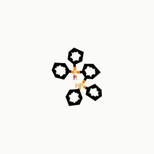 C[PH](c1ccccc1)(c1ccccc1)c1ccccc1[PH](I)(c1ccccc1)c1ccccc1